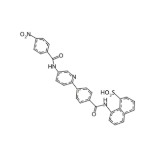 O=C(Nc1ccc(-c2ccc(C(=O)Nc3cccc4cccc(S(=O)(=O)O)c34)cc2)nc1)c1ccc([N+](=O)[O-])cc1